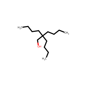 CCCCC(CO)(CCCC)CCCC